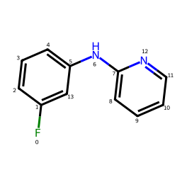 Fc1cccc(Nc2ccccn2)c1